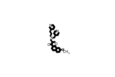 COc1ccc2ccc3c(=O)c(CN(CCCc4cccnc4)Cc4ccncc4)coc3c2c1